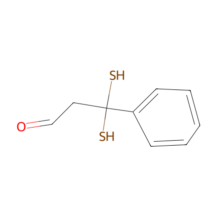 O=CCC(S)(S)c1ccccc1